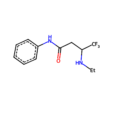 CCNC(CC(=O)Nc1ccccc1)C(F)(F)F